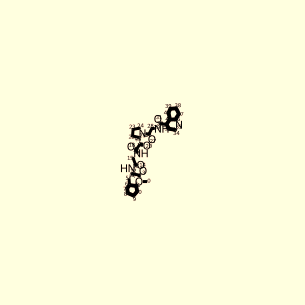 COC(=O)[C@H](Cc1ccccc1)NC(=O)CNC(=O)C(=O)[C@@H]1CCCN1C(=O)CNC(=O)c1ccnc2ccccc12